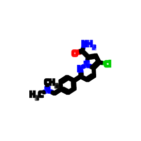 CN(C)Cc1ccc(-c2ccc3c(Cl)cc(C(N)=O)n3n2)cc1